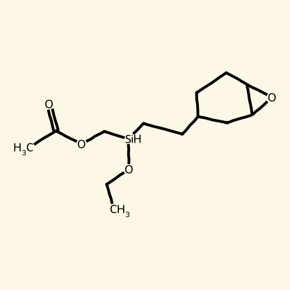 CCO[SiH](CCC1CCC2OC2C1)COC(C)=O